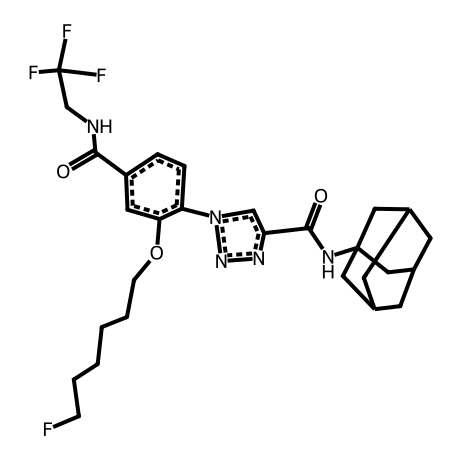 O=C(NCC(F)(F)F)c1ccc(-n2cc(C(=O)NC34CC5CC(CC(C5)C3)C4)nn2)c(OCCCCCCF)c1